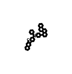 c1ccc(N(c2ccc(-c3cccc4ccc5c6ccccc6ccc5c34)cc2)c2ccc3c(c2)sc2cc4ccccc4cc23)cc1